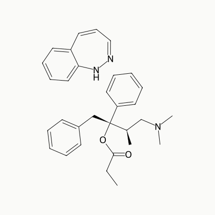 C1=Cc2ccccc2NN=C1.CCC(=O)O[C@](Cc1ccccc1)(c1ccccc1)[C@H](C)CN(C)C